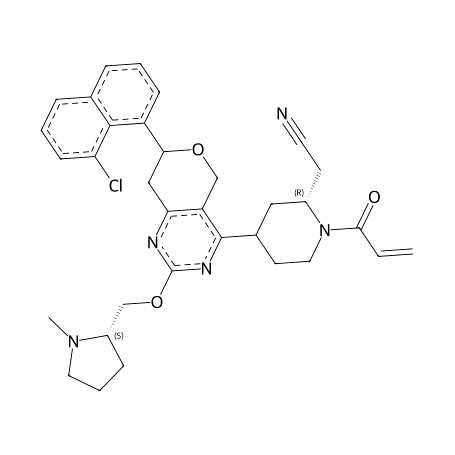 C=CC(=O)N1CCC(c2nc(OC[C@@H]3CCCN3C)nc3c2COC(c2cccc4cccc(Cl)c24)C3)C[C@@H]1CC#N